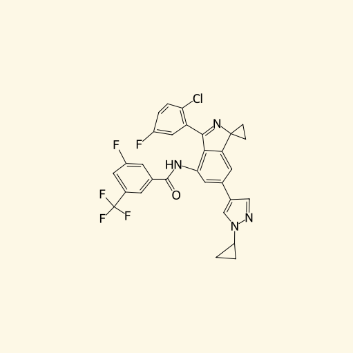 O=C(Nc1cc(-c2cnn(C3CC3)c2)cc2c1C(c1cc(F)ccc1Cl)=NC21CC1)c1cc(F)cc(C(F)(F)F)c1